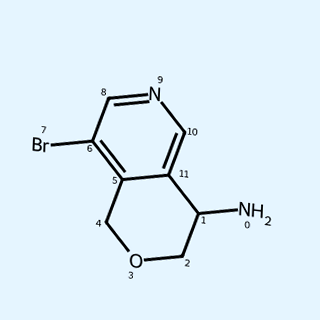 NC1COCc2c(Br)cncc21